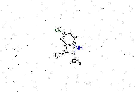 Cc1[nH]c2ccc(Cl)cc2c1C